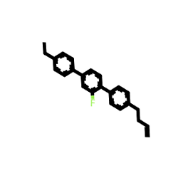 C=CCCc1ccc(-c2ccc(-c3ccc(CC)cc3)cc2F)cc1